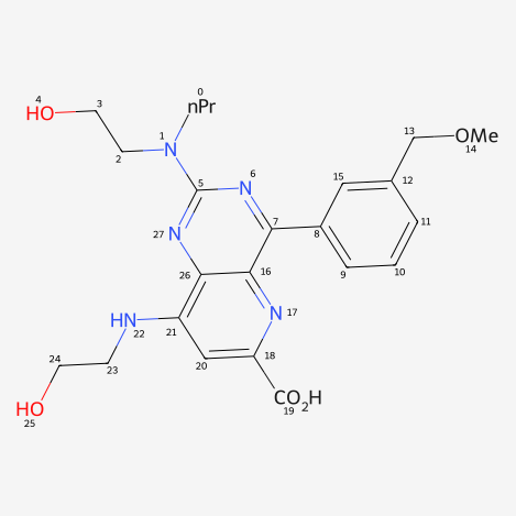 CCCN(CCO)c1nc(-c2cccc(COC)c2)c2nc(C(=O)O)cc(NCCO)c2n1